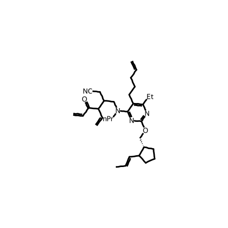 C=CCCCc1c(CC)nc(OC[C@@H]2CCCC2/C=C/C)nc1N(CCC)CC(CC#N)C(C=C)C(=O)C=C